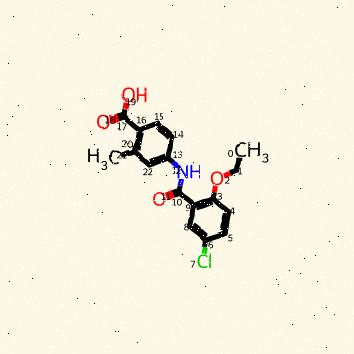 CCOc1ccc(Cl)cc1C(=O)Nc1ccc(C(=O)O)c(C)c1